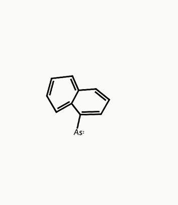 [As]c1cccc2ccccc12